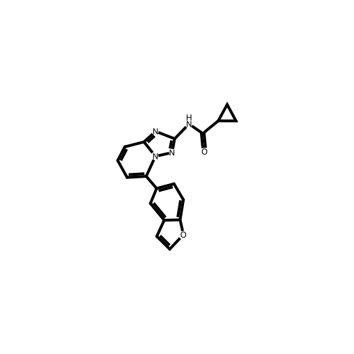 O=C(Nc1nc2cccc(-c3ccc4occc4c3)n2n1)C1CC1